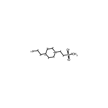 CS(=O)(=O)CCN1CCC(CCI)CC1